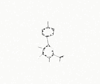 Nc1c(F)c(-c2ccc(I)cc2)nc(C(=O)O)c1Cl